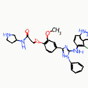 COc1cc(-c2nc(Nc3ccc4[nH]ncc4c3Cl)n(-c3ccccc3)n2)ccc1OCC(=O)NC1CCNC1